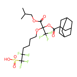 CC(C)COC(=O)C(OCCCCC(F)(F)C(F)(F)S(=O)(=O)O)(OC(=O)C12CC3CC(CC(C3)C1)C2)C(F)(F)F